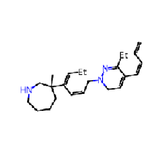 C=C/C=C\C1=CCN(C/C=C\C(=C/CC)C2(C)CCCCNC2)N=C1CC